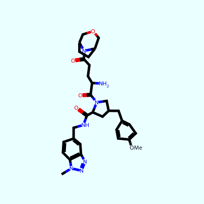 COc1ccc(CC2CC(C(=O)NCc3ccc4c(c3)nnn4C)N(C(=O)C(N)CCC(=O)N3C4CCC3COC4)C2)cc1